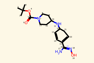 CC(C)(C)OC(=O)N1CCC(NC2C=CC(/C(N)=N/O)=CC2)CC1